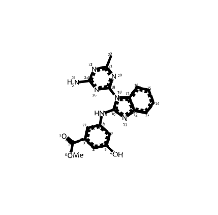 COC(=O)c1cc(O)cc(Nc2nc3ccccc3n2-c2nc(C)nc(N)n2)c1